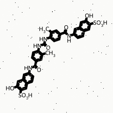 Cc1cc(C(=O)Nc2ccc3cc(S(=O)(=O)O)c(O)cc3c2)ccc1NC(=O)Nc1ccc(C(=O)Nc2ccc3cc(S(=O)(=O)O)c(O)cc3c2)cc1C